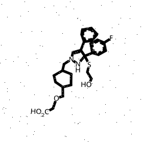 O=C(O)COCC1CCC(CN2C=C(c3ccccc3)C(SCCO)(c3ccc(F)cc3)N2)CC1